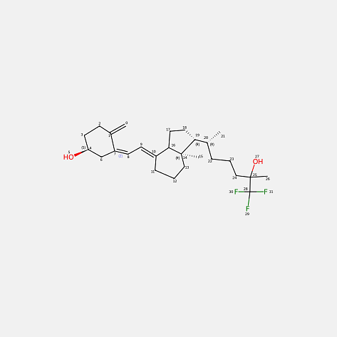 C=C1CC[C@H](O)C/C1=C/C=C1CCC[C@@]2(C)C1CC[C@@H]2[C@H](C)CCCC(C)(O)C(F)(F)F